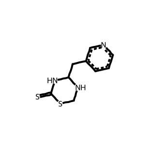 S=C1NC(Cc2cccnc2)NCS1